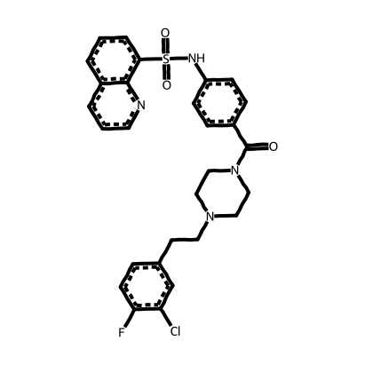 O=C(c1ccc(NS(=O)(=O)c2cccc3cccnc23)cc1)N1CCN(CCc2ccc(F)c(Cl)c2)CC1